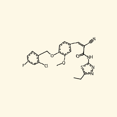 CCc1nnc(NC(=O)C(C#N)=Cc2ccc(OCc3ccc(F)cc3Cl)c(OC)c2)s1